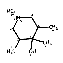 CC1CNCC(C)C1(C)O.Cl